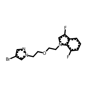 Fc1cn(CCOCCn2cc(Br)cn2)c2c(F)cccc12